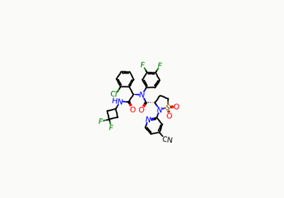 N#Cc1ccnc(N2[C@H](C(=O)N(c3ccc(F)c(F)c3)[C@@H](C(=O)NC3CC(F)(F)C3)c3ccccc3Cl)CCS2(=O)=O)c1